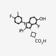 Cc1cc(-n2c(C(C)C)c([C@H]3C[C@@H](C(=O)O)C3)c3c(F)c(O)ccc32)ccc1F